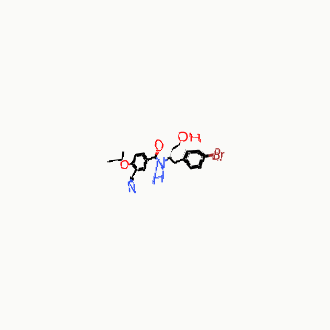 CC(C)Oc1ccc(C(=O)N[C@H](CCO)Cc2ccc(Br)cc2)cc1C#N